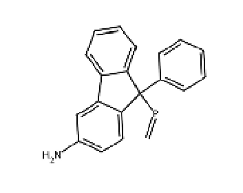 C=PC1(c2ccccc2)c2ccccc2-c2cc(N)ccc21